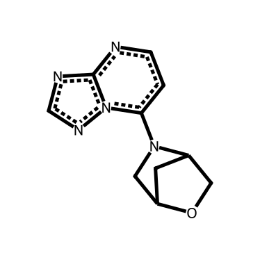 c1cc(N2CC3CC2CO3)n2ncnc2n1